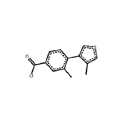 Cc1cc(C(=O)Cl)ccc1-c1cscc1C